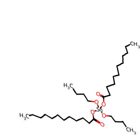 CCCCCCCCCCCC(=O)[O][Sn]([O]CCCC)([O]CCCC)[O]C(=O)CCCCCCCCCCC